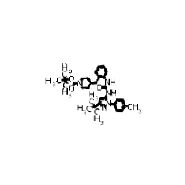 Cc1ccc(-n2nc(C(C)(C)C)cc2NC(=O)Nc2ccccc2CC2CCN(C(=O)OC(C)(C)C)CC2)cc1